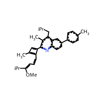 CO/C(=C\C=C/C1=C(C)C=C1c1nc2ccc(-c3ccc(C)cc3)cc2c(CC(C)C)c1C)C(C)C